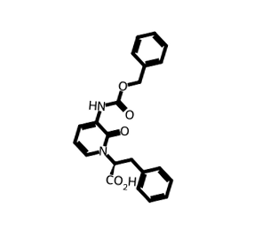 O=C(Nc1cccn([C@@H](Cc2ccccc2)C(=O)O)c1=O)OCc1ccccc1